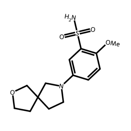 COc1ccc(N2CCC3(CCOC3)C2)cc1S(N)(=O)=O